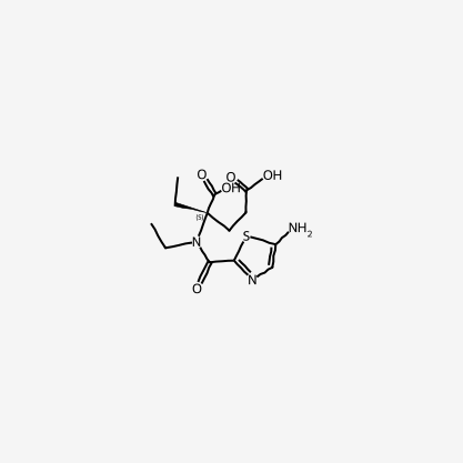 CCN(C(=O)c1ncc(N)s1)[C@@](CC)(CCC(=O)O)C(=O)O